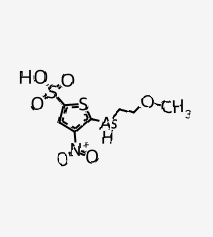 COCC[AsH]c1sc(S(=O)(=O)O)cc1[N+](=O)[O-]